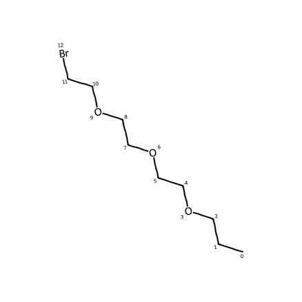 CCCOCCOCCOCCBr